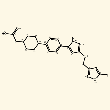 Cc1cc(COc2cc(-c3ccc(C4CCC(CC(=O)O)CC4)cc3)[nH]n2)no1